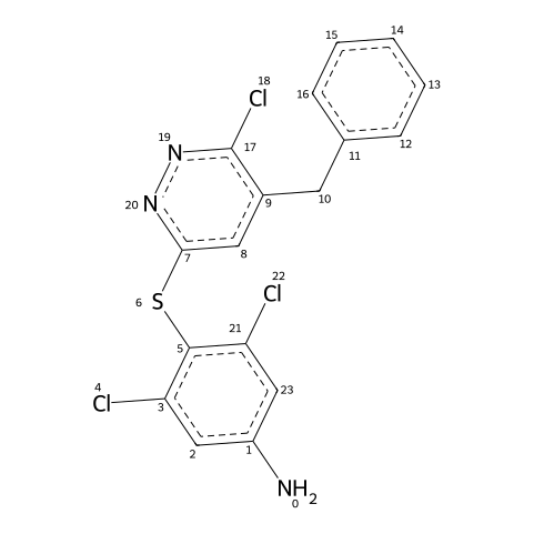 Nc1cc(Cl)c(Sc2cc(Cc3ccccc3)c(Cl)nn2)c(Cl)c1